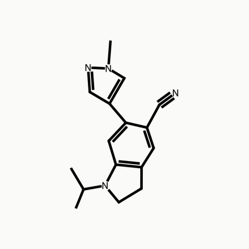 CC(C)N1CCc2cc(C#N)c(-c3cnn(C)c3)cc21